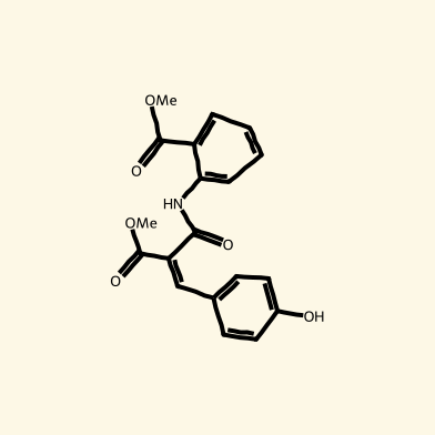 COC(=O)C(=Cc1ccc(O)cc1)C(=O)Nc1ccccc1C(=O)OC